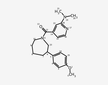 COc1ccc(C2CCCCN(C(=O)c3ccnc(N(C)C)c3)C2)cc1